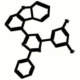 Brc1cc(Br)cc(-c2cc(-c3cccc4c3C3C=CC=CC3O4)nc(-c3ccccc3)n2)c1